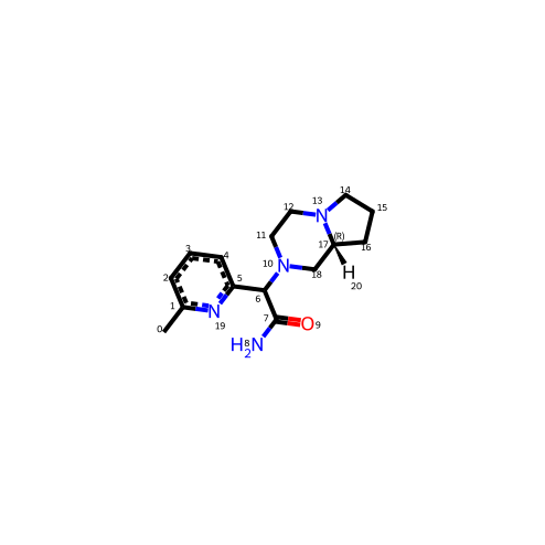 Cc1cccc(C(C(N)=O)N2CCN3CCC[C@@H]3C2)n1